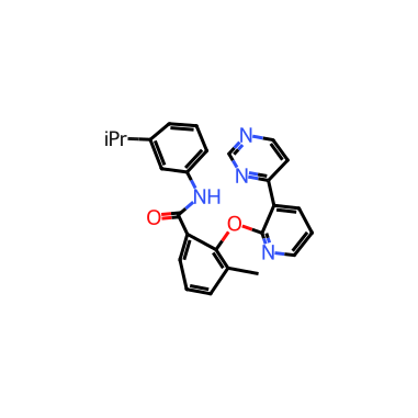 Cc1cccc(C(=O)Nc2cccc(C(C)C)c2)c1Oc1ncccc1-c1ccncn1